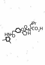 Cc1cc(C)cc(NC(=O)Cc2ccc(OC3(C(=O)N[C@H](CC(C)C)C(=O)O)CCCC3)cc2)c1